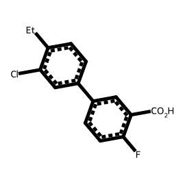 CCc1ccc(-c2ccc(F)c(C(=O)O)c2)cc1Cl